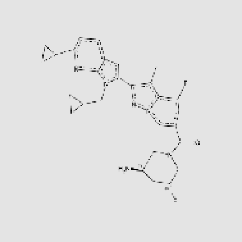 Cc1c(-c2cc3ccc(C4CC4)nc3n2CC2CC2)nn2cc(C(=O)N3C[C@H](N)C[C@@H](F)C3)cc(F)c12